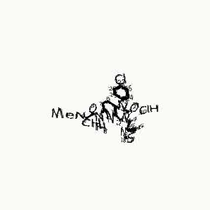 CN[C@@H](C)C(=O)Nc1ccc2c(n1)CN(Cc1cscn1)C(=O)N2c1ccc(Cl)cc1.Cl